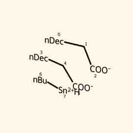 CCCCCCCCCCCC(=O)[O-].CCCCCCCCCCCC(=O)[O-].CCC[CH2][SnH+2]